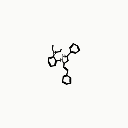 CCN(CC)c1ccccc1N1N=C(c2ccccc2)CC1C=Cc1ccccc1